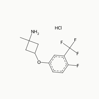 CC1(N)CC(Oc2ccc(F)c(C(F)(F)F)c2)C1.Cl